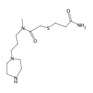 CN(CCCN1CCNCC1)C(=O)CSCCC(N)=O